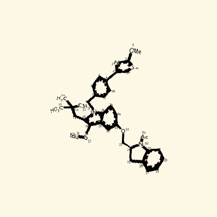 COc1nc(-c2ccc(Cn3c(CC(C)(C)C(=O)O)c(SC(C)(C)C)c4cc(OC[C@@H]5Cc6ccccc6N5C(C)=O)ccc43)cc2)cs1